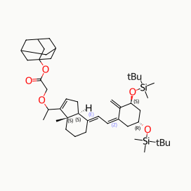 C=C1/C(=C\C=C2/CCC[C@]3(C)C(C(C)OCC(=O)OC45CC6CC(CC(C6)C4)C5)=CC[C@@H]23)C[C@@H](O[Si](C)(C)C(C)(C)C)C[C@@H]1O[Si](C)(C)C(C)(C)C